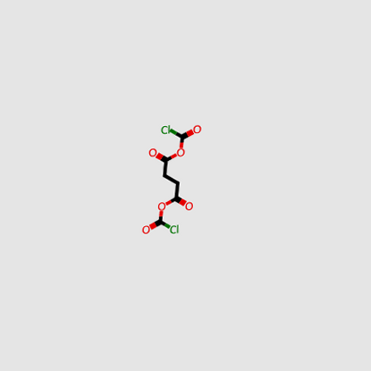 O=C(Cl)OC(=O)CCC(=O)OC(=O)Cl